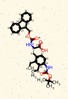 CCc1c(C[C@H](NC(=O)OCC2c3ccccc3-c3ccccc32)C(=O)O)ccc(NC(=O)OC(C)(C)C)c1CC